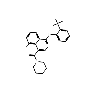 Cc1cccc2c(Nc3ccccc3C(F)(F)F)ncc(C(=O)N3CCCCC3)c12